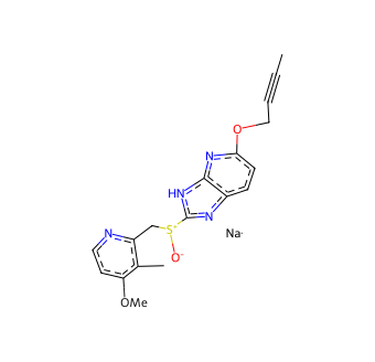 CC#CCOc1ccc2nc([S+]([O-])Cc3nccc(OC)c3C)[nH]c2n1.[Na]